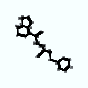 O=C(NNC(=O)c1ccnc2[nH]ccc12)OCc1ccccc1